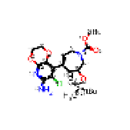 CC(C)(C)OC(=O)N1CC=C(c2c(Cl)c(N)nc3c2OCCO3)CC(O[Si](C)(C)C(C)(C)C)C1